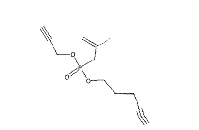 C#CCCCOP(=O)(CC(=C)C)OCC#C